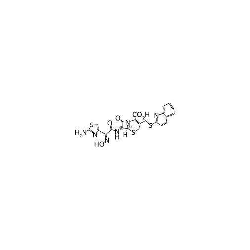 Nc1nc(C(=NO)C(=O)N[C@@H]2C(=O)N3C(C(=O)O)=C(CSc4ccc5ccccc5n4)CS[C@@H]23)cs1